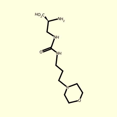 N[C@@H](CNC(=O)NCCCN1CCOCC1)C(=O)O